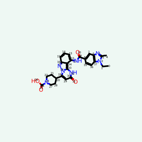 CCn1c(C)nc2cc(C(=O)Nc3cccc4nn5c(C6CCN(C(=O)O)CC6)cc(=O)[nH]c5c34)ccc21